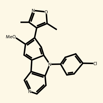 COc1cc2c3cnccc3n(-c3ccc(Cl)cc3)c2cc1-c1c(C)noc1C